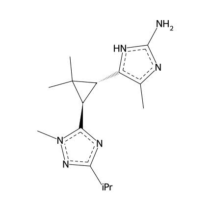 Cc1nc(N)[nH]c1[C@@H]1[C@@H](c2nc(C(C)C)nn2C)C1(C)C